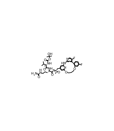 CC(C)[C@H](NC(=O)OC(C)(C)O)C(=O)N[C@@H](CCCNC(N)=O)C(=O)N=S(C)(=O)Cc1cc2nc(c1)OCCCOc1cc(F)ccc1-c1cc(ncc1F)N2